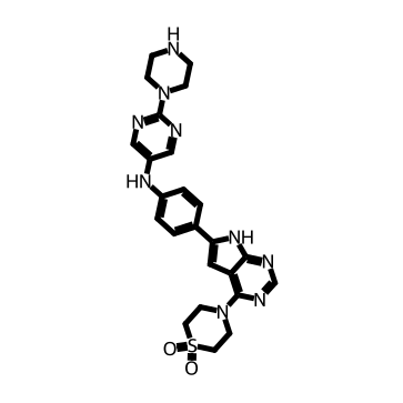 O=S1(=O)CCN(c2ncnc3[nH]c(-c4ccc(Nc5cnc(N6CCNCC6)nc5)cc4)cc23)CC1